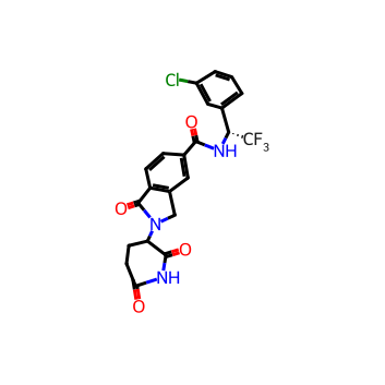 O=C1CCC(N2Cc3cc(C(=O)N[C@H](c4cccc(Cl)c4)C(F)(F)F)ccc3C2=O)C(=O)N1